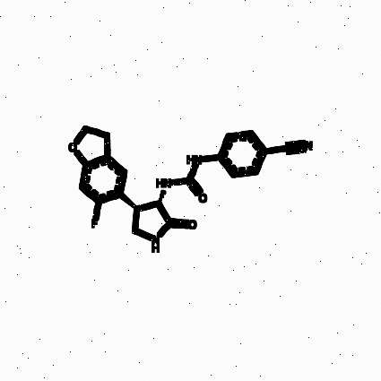 N#Cc1ccc(NC(=O)N[C@@H]2C(=O)NC[C@H]2c2cc3c(cc2F)OCC3)cc1